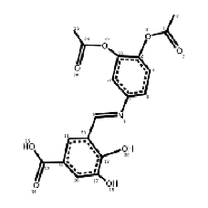 CC(=O)Oc1ccc(/N=C/c2cc(C(=O)O)cc(O)c2O)cc1OC(C)=O